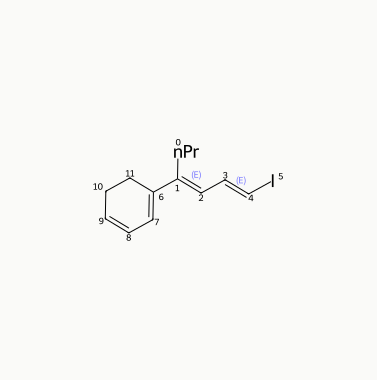 CCC/C(=C\C=C\I)C1=CC=CCC1